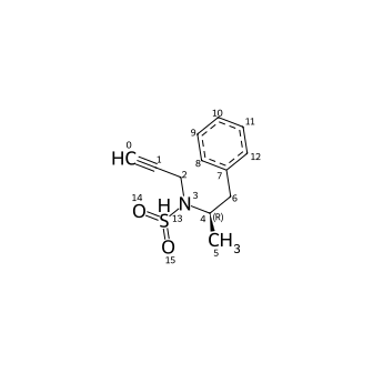 C#CCN([C@H](C)Cc1ccccc1)[SH](=O)=O